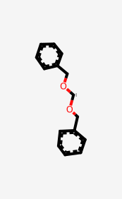 [C](OCc1ccccc1)OCc1ccccc1